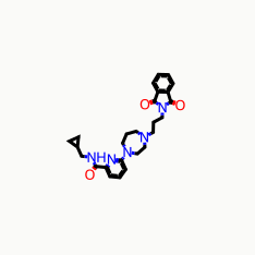 O=C(NCC1CC1)c1cccc(N2CCCN(CCCN3C(=O)c4ccccc4C3=O)CC2)n1